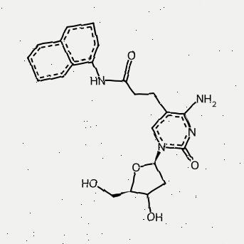 Nc1nc(=O)n([C@H]2CC(O)[C@@H](CO)O2)cc1CCC(=O)Nc1cccc2ccccc12